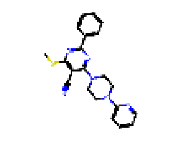 CSc1nc(-c2ccccc2)nc(N2CCN(c3ccccn3)CC2)c1C#N